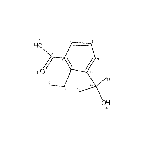 CCc1c(C(=O)O)cccc1C(C)(C)O